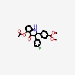 COC(OC)c1ccc(C2Nc3cccc(OC(C)=O)c3C(=O)C2c2ccc(F)cc2)cc1